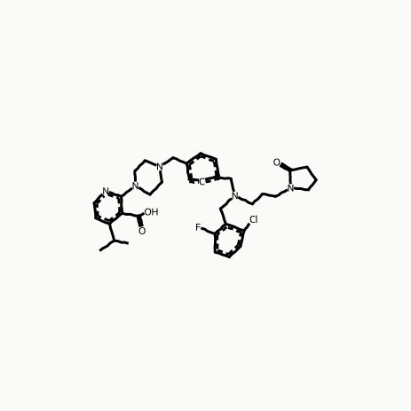 CC(C)c1ccnc(N2CCN(Cc3ccc(CN(CCCN4CCCC4=O)Cc4c(F)cccc4Cl)cc3)CC2)c1C(=O)O